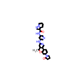 CC1Oc2cc(N3CCCC3=O)ccc2-c2cnc(Nc3cncc(NC(=O)c4cnn5ccccc45)c3)cc21